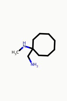 CNC1(CN)CCCCCCC1